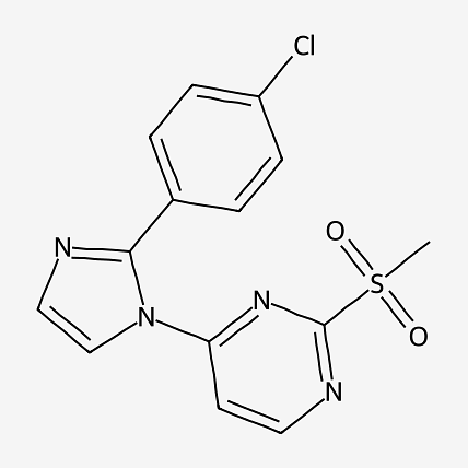 CS(=O)(=O)c1nccc(-n2ccnc2-c2ccc(Cl)cc2)n1